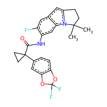 CC1(C)CCc2cc3cc(F)c(NC(=O)C4(c5ccc6c(c5)OC(F)(F)O6)CC4)cc3n21